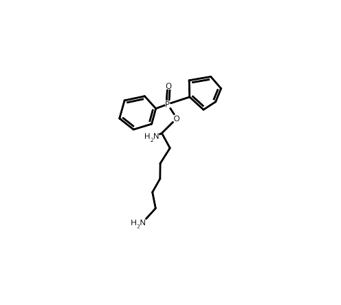 NCCCCCC(N)OP(=O)(c1ccccc1)c1ccccc1